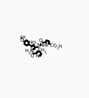 CC(=NNC(=O)c1ccc(C(=O)O)s1)c1csc(-c2ccc(OC(F)(F)F)cc2)c1O.NC(=O)c1ccccn1